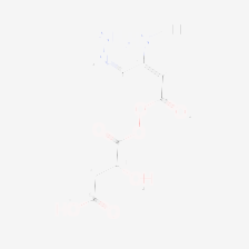 CNC(/C=N\N)=C/C(=O)OOC(=O)C(O)CC(=O)O